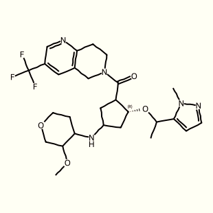 COC1COCCC1NC1CC(C(=O)N2CCc3ncc(C(F)(F)F)cc3C2)[C@H](OC(C)c2ccnn2C)C1